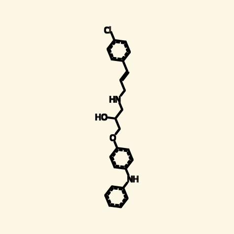 OC(CNCC=Cc1ccc(Cl)cc1)COc1ccc(Nc2ccccc2)cc1